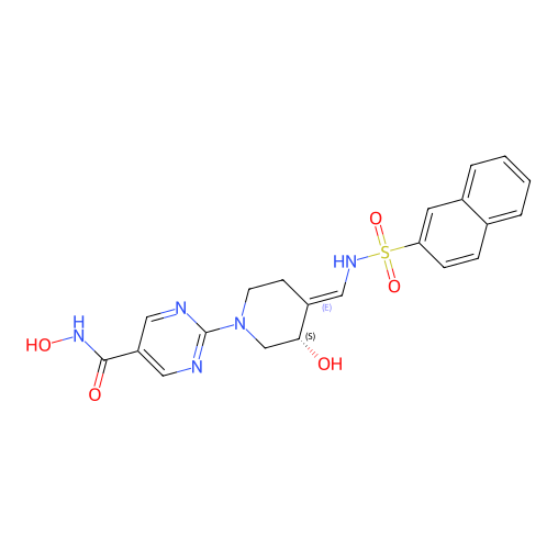 O=C(NO)c1cnc(N2CC/C(=C\NS(=O)(=O)c3ccc4ccccc4c3)[C@H](O)C2)nc1